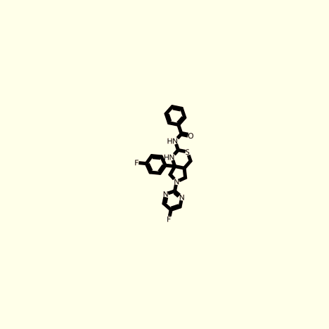 O=C(NC1NC2(c3ccc(F)cc3)CN(c3ncc(F)cn3)CC2CS1)c1ccccc1